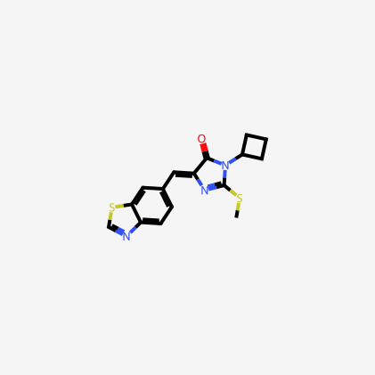 CSC1=N/C(=C\c2ccc3ncsc3c2)C(=O)N1C1CCC1